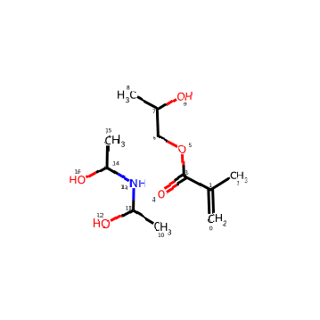 C=C(C)C(=O)OCC(C)O.CC(O)NC(C)O